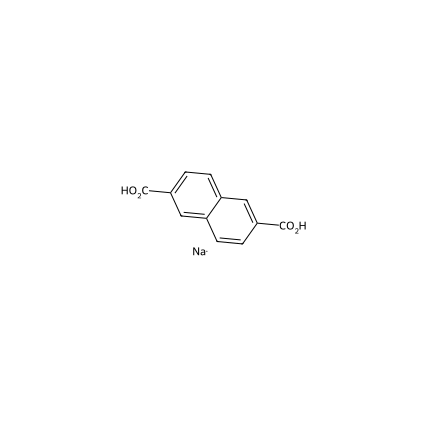 O=C(O)c1ccc2cc(C(=O)O)ccc2c1.[Na]